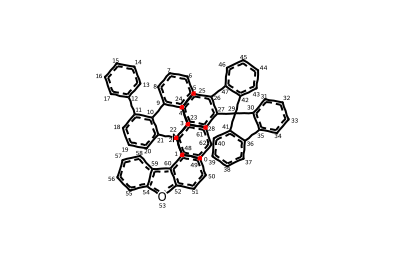 c1ccc(-c2ccccc2-c2c(-c3ccccc3)cccc2N(c2ccc3c(c2)C2(c4ccccc4-c4ccccc42)c2ccccc2-3)c2cccc3oc4ccccc4c23)cc1